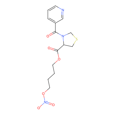 O=C(OCCCCO[N+](=O)[O-])C1CSCN1C(=O)c1cccnc1